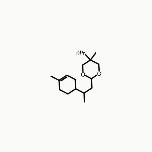 CCCC1(C)COC(CC(C)C2CC=C(C)CC2)OC1